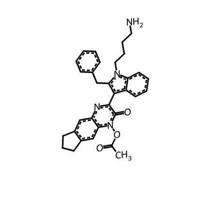 CC(=O)On1c(=O)c(-c2c(Cc3ccccc3)n(CCCCN)c3ccccc23)nc2cc3c(cc21)CCC3